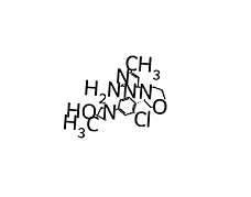 Cc1cc(N2CCCOC[C@@H]2c2ccc(N3CC(C)(O)C3)cc2Cl)nc(N)n1